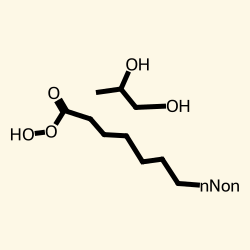 CC(O)CO.CCCCCCCCCCCCCCCC(=O)OO